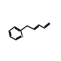 C=CC=CCc1bcccc1